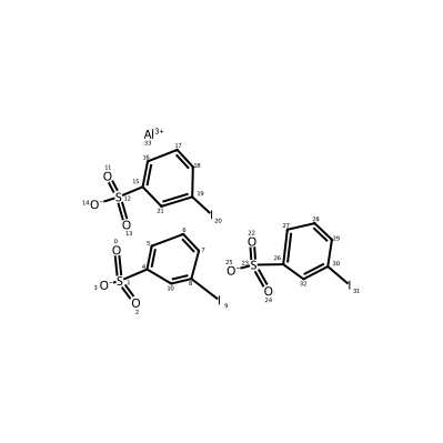 O=S(=O)([O-])c1cccc(I)c1.O=S(=O)([O-])c1cccc(I)c1.O=S(=O)([O-])c1cccc(I)c1.[Al+3]